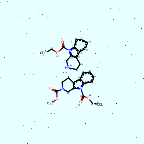 CC(C)(C)OC(=O)N1CCc2c(n(C(=O)OCC(Cl)(Cl)Cl)c3ccccc23)C1.O=C(OCC(Cl)(Cl)Cl)n1c2c(c3ccccc31)CCNC2